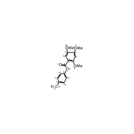 COc1cc(OC)c(C(=O)Oc2ccc(C)cc2)cc1OC